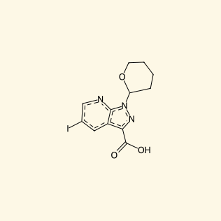 O=C(O)c1nn(C2CCCCO2)c2ncc(I)cc12